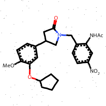 COc1ccc(C2CC(=O)N(Cc3ccc([N+](=O)[O-])cc3NC(C)=O)C2)cc1OC1CCCC1